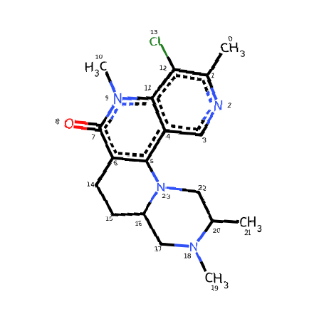 Cc1ncc2c3c(c(=O)n(C)c2c1Cl)CCC1CN(C)C(C)CN31